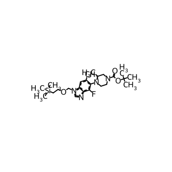 Cc1cc2c(ncn2COCC[Si](C)(C)C)c(F)c1N1CCN(C(=O)OC(C)(C)C)CC1C